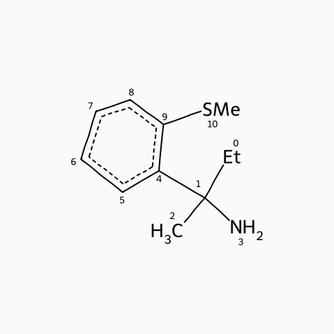 CCC(C)(N)c1ccccc1SC